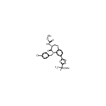 COC(F)(c1nnc(-c2ccc3c(c2)N(Cc2ccc(Cl)cc2)C(=O)[C@@H](NC(=O)OC(C)(C)C)CS3)o1)C(F)(F)F